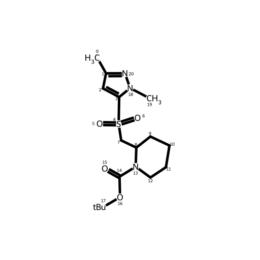 Cc1cc(S(=O)(=O)CC2CCCCN2C(=O)OC(C)(C)C)n(C)n1